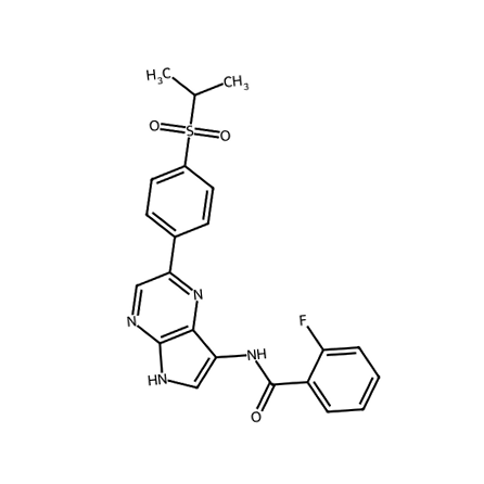 CC(C)S(=O)(=O)c1ccc(-c2cnc3[nH]cc(NC(=O)c4ccccc4F)c3n2)cc1